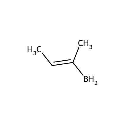 BC(C)=CC